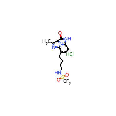 Cc1nc2c(CCCCNS(=O)(=O)C(F)(F)F)ccc3[nH]c(=O)c1n32.Cl